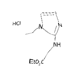 CCOC(=O)Nc1nccn1C.Cl